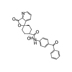 O=C(c1ccccc1)c1ccc(NC(=O)[C@]2(O)CC[C@@]3(CC2)OC(=O)c2ncccc23)cc1